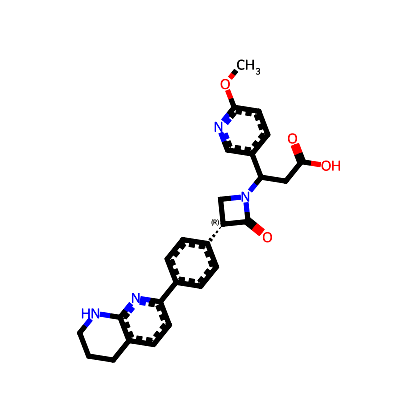 COc1ccc(C(CC(=O)O)N2C[C@@H](c3ccc(-c4ccc5c(n4)NCCC5)cc3)C2=O)cn1